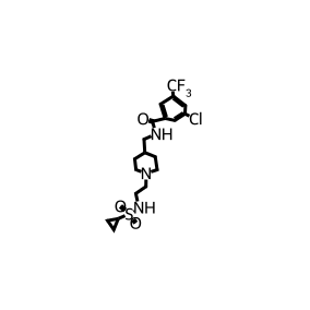 O=C(NCC1CCN(CCNS(=O)(=O)C2CC2)CC1)c1cc(Cl)cc(C(F)(F)F)c1